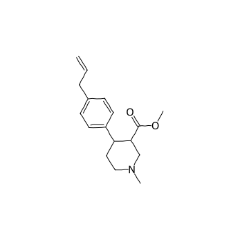 C=CCc1ccc(C2CCN(C)CC2C(=O)OC)cc1